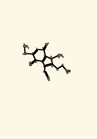 COC1=CC(=O)c2c(c(C=O)c(CCO)n2C)C1=O